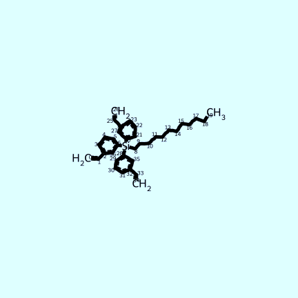 C=Cc1cccc([Si](CCCCCCCCCCCC)(c2cccc(C=C)c2)c2cccc(C=C)c2)c1